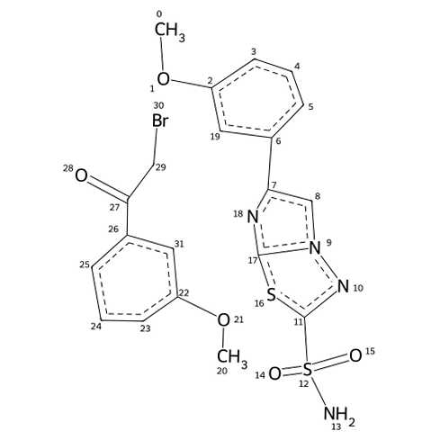 COc1cccc(-c2cn3nc(S(N)(=O)=O)sc3n2)c1.COc1cccc(C(=O)CBr)c1